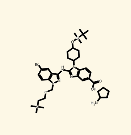 CC(C)(C)[Si](C)(C)OC1CCC(n2c(Nc3nn(COCC[Si](C)(C)C)c4ccc(Br)cc34)nc3cc(C(=O)O)ccc32)CC1.NC1CCCC1